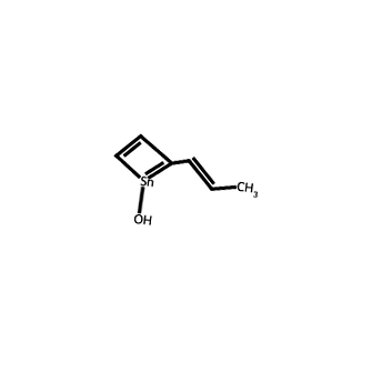 CC=C[C]1=[Sn]([OH])[CH]=C1